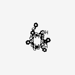 O=C1N[C@@H](Cc2ccc(OCc3ccccc3)cc2)C(=O)N2Cc3ccccc3C[C@H]2C(=O)N2CCOC[C@H]2C(=O)N[C@H](CCc2ccccc2)C(=O)N[C@H](Cc2c[nH]c3ccccc23)C(=O)N[C@H]1CC1CCNCC1